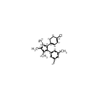 Cc1cc(F)cc(-c2c(C)c(C)n(C(C)C)c2C2=CC=C(Cl)CC2)c1